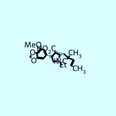 CC=CC(C)(C)C[C@H]1[C@H](C(=O)O)[C@@H](c2cc(OC)c3c(c2)OCO3)CN1CC